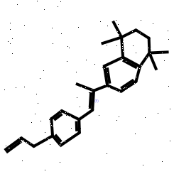 C=CCc1ccc(/C=C(\C)c2ccc3c(c2)C(C)(C)CCC3(C)C)cc1